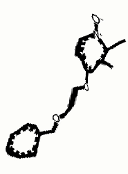 Cc1c(OCCOCc2ccccc2)cc[n+]([O-])c1C